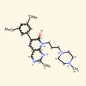 COc1cc(OC)cc(-c2cc3cnc(SC)nc3n(CCCN3CCN(C)CC3)c2=O)c1